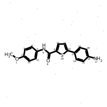 COc1ccc(NC(=O)c2ccc(-c3ccc(N)cc3)s2)cc1